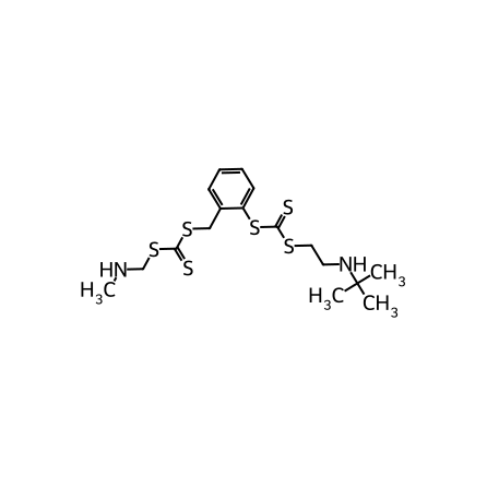 CNCSC(=S)SCc1ccccc1SC(=S)SCCNC(C)(C)C